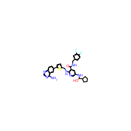 Nc1ncnc2ccc(-c3ccc(CNc4ncc(NC(O)C5CCCC5)cc4C(=O)NCc4ccc(F)c(F)c4)s3)cc12